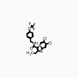 CCc1nc2cc(Cl)c(Cl)cn2c1C(=O)NCc1ccc(OC(F)(F)F)cc1